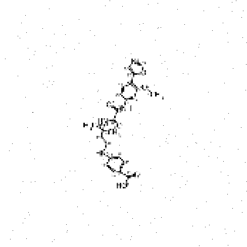 COc1cc(NC(=O)C(=O)NC(C)(C)CCNc2ccc(C(=O)O)cc2)ccc1-c1cnco1